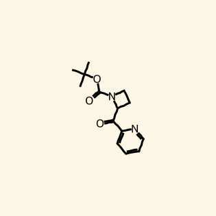 CC(C)(C)OC(=O)N1CCC1C(=O)c1ccccn1